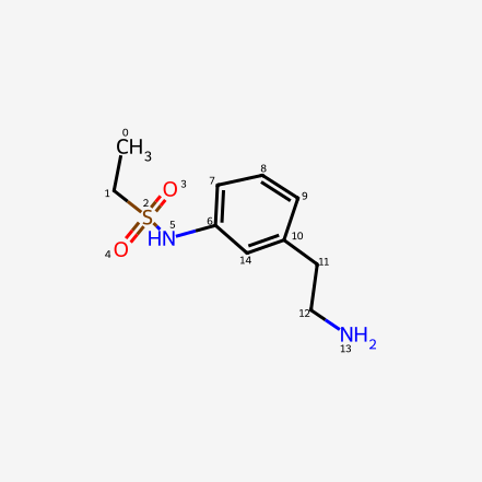 CCS(=O)(=O)Nc1cccc(CCN)c1